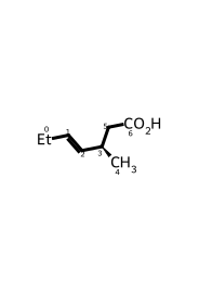 CC/C=C/[C@H](C)CC(=O)O